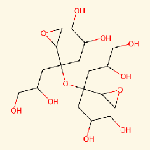 OCC(O)CC(CC(O)CO)(OC(CC(O)CO)(CC(O)CO)C1CO1)C1CO1